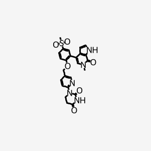 Cn1cc(-c2cc(S(C)(=O)=O)ccc2OCc2ccc(N3CCC(=O)NC3=O)nc2)c2cc[nH]c2c1=O